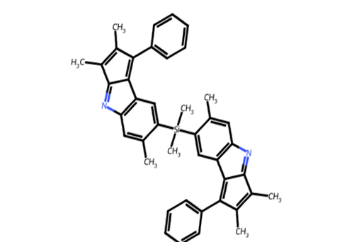 CC1=C(C)C(c2ccccc2)=C2C1=Nc1cc(C)c([Si](C)(C)c3cc4c(cc3C)N=C3C(C)=C(C)C(c5ccccc5)=C34)cc12